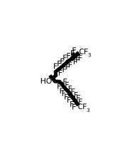 CC(O)(CCC(F)(F)C(F)(F)C(F)(F)C(F)(F)C(F)(F)C(F)(F)C(F)(F)C(F)(F)F)CCC(F)(F)C(F)(F)C(F)(F)C(F)(F)C(F)(F)C(F)(F)C(F)(F)C(F)(F)F